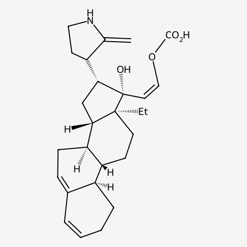 C=C1NCCC1[C@H]1C[C@H]2[C@@H]3CC=C4C=CCC[C@@H]4[C@H]3CC[C@]2(CC)[C@]1(O)/C=C\OC(=O)O